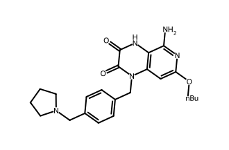 CCCCOc1cc2c([nH]c(=O)c(=O)n2Cc2ccc(CN3CCCC3)cc2)c(N)n1